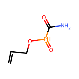 C=CCO[PH](=O)C(N)=O